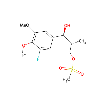 COc1cc([C@@H](O)[C@H](C)COS(C)(=O)=O)cc(F)c1OC(C)C